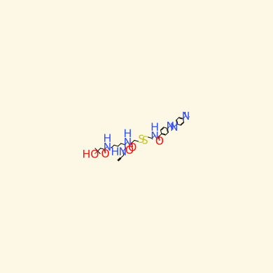 C#CCNC(=O)C(CCCCNC(=O)CC(C)(C)O)NC(=O)CCSSCCNC(=O)c1ccc(/N=N/c2ccc(N(C)C)cc2)cc1